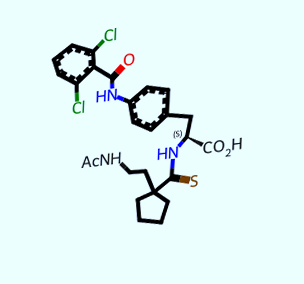 CC(=O)NCCC1(C(=S)N[C@@H](Cc2ccc(NC(=O)c3c(Cl)cccc3Cl)cc2)C(=O)O)CCCC1